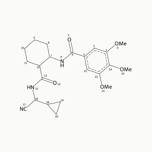 COc1cc(C(=O)NC2CCCCC2C(=O)NC(C#N)C2CC2)cc(OC)c1OC